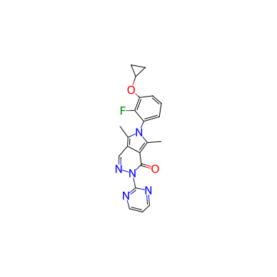 Cc1c2cnn(-c3ncccn3)c(=O)c2c(C)n1-c1cccc(OC2CC2)c1F